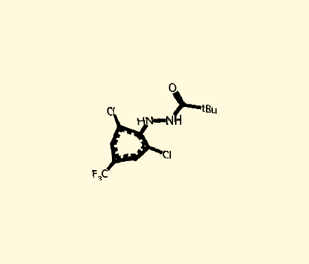 CC(C)(C)C(=O)NNc1c(Cl)cc(C(F)(F)F)cc1Cl